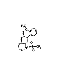 O=c1sc2cccnc2c(OS(=O)(=O)C(F)(F)F)c1-c1ccccc1OC(F)(F)F